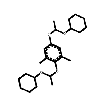 Cc1cc(OC(C)OC2CCCCC2)cc(C)c1OC(C)OC1CCCCC1